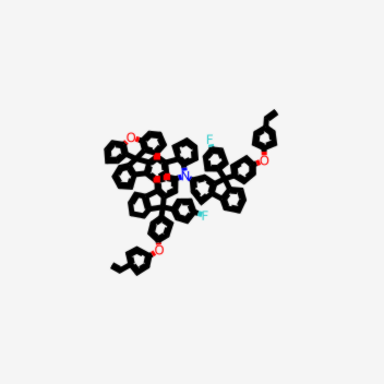 C=Cc1ccc(Oc2ccc(C3(c4ccc(F)cc4)C4=C(C=CCC4)c4ccc(N(c5ccc6c(c5)C(c5ccc(F)cc5)(c5ccc(Oc7ccc(C=C)cc7)cc5)c5ccccc5-6)c5ccccc5-c5ccc6c(c5)C5(c7ccccc7Oc7ccccc75)c5ccccc5-6)cc43)cc2)cc1